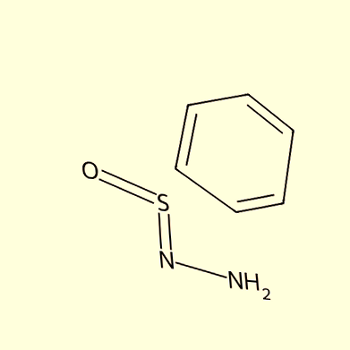 NN=S=O.c1ccccc1